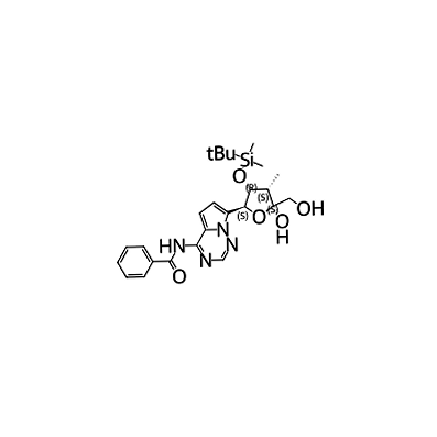 C[C@H]1[C@@H](O[Si](C)(C)C(C)(C)C)[C@H](c2ccc3c(NC(=O)c4ccccc4)ncnn23)O[C@]1(O)CO